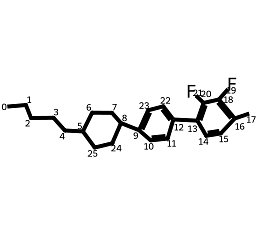 CCCCCC1CCC(c2ccc(-c3ccc(C)c(F)c3F)cc2)CC1